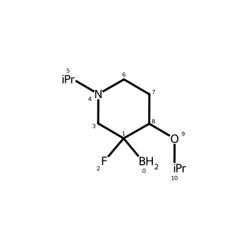 BC1(F)CN(C(C)C)CCC1OC(C)C